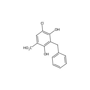 O=C(O)c1cc(Cl)c(O)c(Cc2ccccc2)c1O